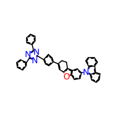 C1=C(c2ccc(-c3nc(-c4ccccc4)nc(-c4ccccc4)n3)cc2)CCc2c1oc1ccc(-n3c4ccccc4c4ccccc43)cc21